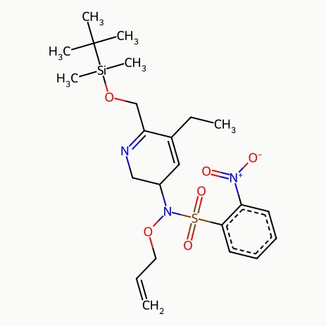 C=CCON(C1C=C(CC)C(CO[Si](C)(C)C(C)(C)C)=NC1)S(=O)(=O)c1ccccc1[N+](=O)[O-]